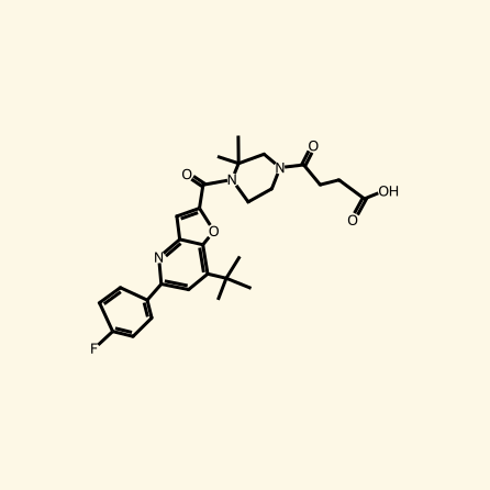 CC(C)(C)c1cc(-c2ccc(F)cc2)nc2cc(C(=O)N3CCN(C(=O)CCC(=O)O)CC3(C)C)oc12